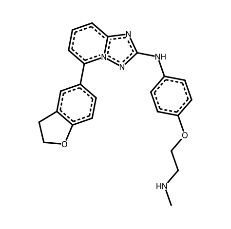 CNCCOc1ccc(Nc2nc3cccc(-c4ccc5c(c4)CCO5)n3n2)cc1